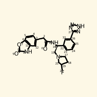 O=C(Cc1ccc2oc(=O)[nH]c2c1)N[C@H](CN1CCC(F)C1)c1cccc(-c2nn[nH]n2)c1